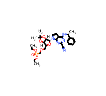 CCOP(=O)(COCC1O[C@@H](n2ccc3c(N[C@H](C)c4ccccc4)nc(C#N)nc32)[C@@H]2OC(C)(C)O[C@H]12)OCC